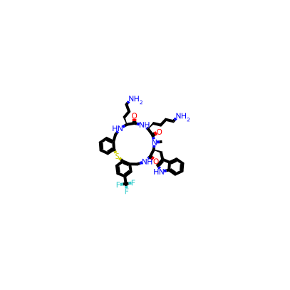 CN1C(=O)[C@H](CCCCN)NC(=O)[C@H](CCCN)NCc2ccccc2Sc2ccc(C(F)(F)F)cc2CNC(=O)[C@@H]1Cc1c[nH]c2ccccc12